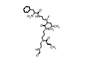 C/C=C/C(=O)N(CCCNC(=O)C(CC(C)C)N(F)CCNC(=O)C(N)Cc1ccccc1)CCNC=O